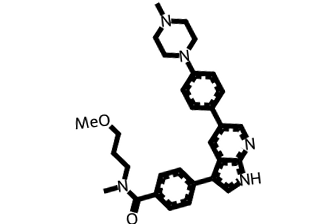 COCCCN(C)C(=O)c1ccc(-c2c[nH]c3ncc(-c4ccc(N5CCN(C)CC5)cc4)cc23)cc1